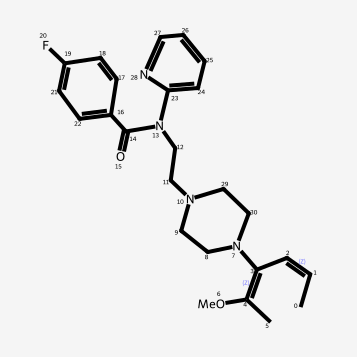 C/C=C\C(=C(/C)OC)N1CCN(CCN(C(=O)c2ccc(F)cc2)c2ccccn2)CC1